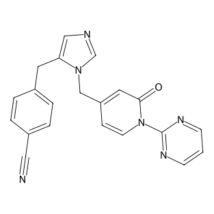 N#Cc1ccc(Cc2cncn2Cc2ccn(-c3ncccn3)c(=O)c2)cc1